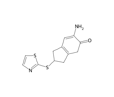 NC1=CC2=C(CC1=O)CC(Sc1nccs1)C2